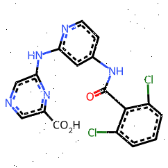 O=C(O)c1cncc(Nc2cc(NC(=O)c3c(Cl)cccc3Cl)ccn2)n1